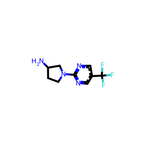 NC1CCN(c2ncc(C(F)(F)F)cn2)C1